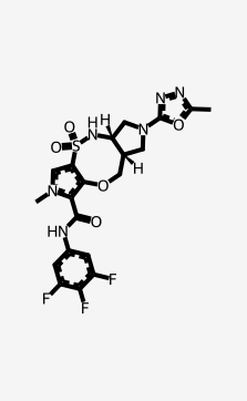 Cc1nnc(N2C[C@@H]3COc4c(cn(C)c4C(=O)Nc4cc(F)c(F)c(F)c4)S(=O)(=O)N[C@@H]3C2)o1